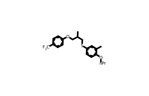 CCCOc1ccc(SCC(C)COc2ccc(C(F)(F)F)cc2)cc1C